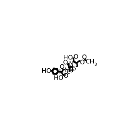 COC12SCC(COC(C)=O)=C(C(=O)O)N1C(=O)[C@H]2NC(=O)C(C(=O)O)c1ccc(O)cc1